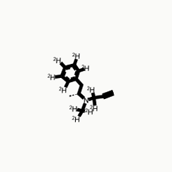 [2H]c1c([2H])c([2H])c(C[C@@H](C)N(C([2H])([2H])[2H])C([2H])([2H])C#C)c([2H])c1[2H]